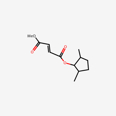 COC(=O)C=CC(=O)OC1C(C)CCC1C